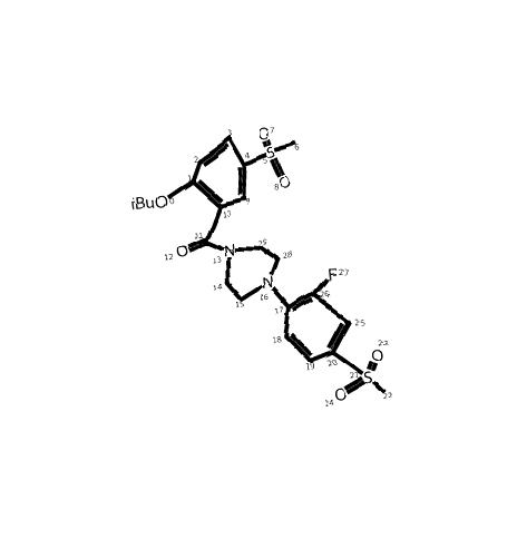 CC(C)COc1ccc(S(C)(=O)=O)cc1C(=O)N1CCN(c2ccc(S(C)(=O)=O)cc2F)CC1